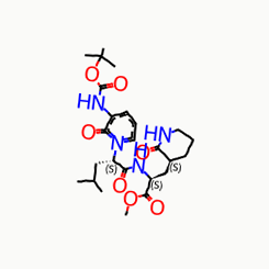 COC(=O)[C@H](C[C@@H]1CCCNC1=O)NC(=O)[C@H](CC(C)C)n1cccc(NC(=O)OC(C)(C)C)c1=O